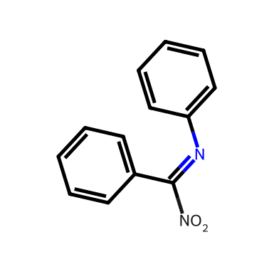 O=[N+]([O-])C(=Nc1ccccc1)c1ccccc1